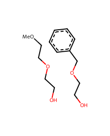 COCCOCCO.OCCOCc1ccccc1